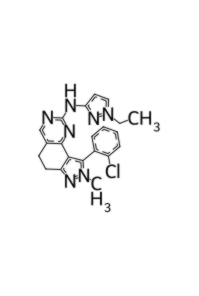 CCn1ccc(Nc2ncc3c(n2)-c2c(nn(C)c2-c2ccccc2Cl)CC3)n1